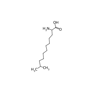 CC(C)CCCCCCCCC(N)C(=O)O